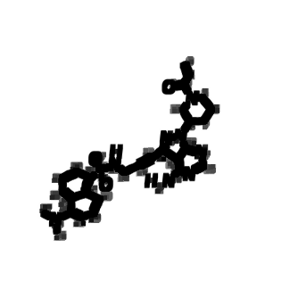 C=CC(=O)N1CCCC(n2nc(C#CCNS(=O)(=O)c3cccc4c(N(C)C)cccc34)c3c(N)ncnc32)C1